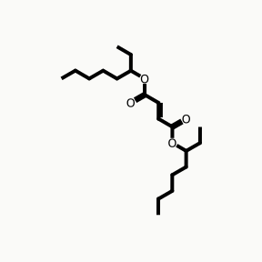 CCCCCC(CC)OC(=O)C=CC(=O)OC(CC)CCCCC